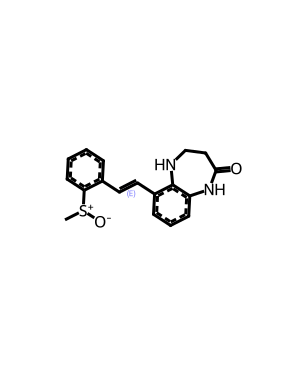 C[S+]([O-])c1ccccc1/C=C/c1cccc2c1NCCC(=O)N2